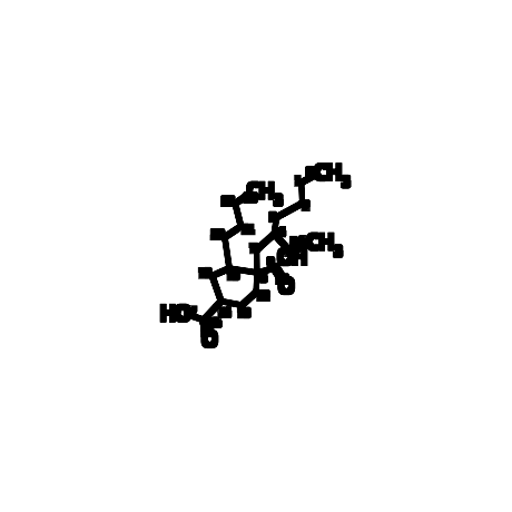 CCCCC(CC)CC1(C(=O)O)CCC(C(=O)O)CC1CCCC